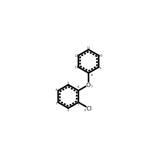 Clc1ccc[c]c1Oc1ccccc1